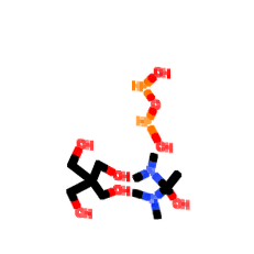 CN(C)C(C)(O)N(C)C.OCC(CO)(CO)CO.OPOPO